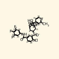 Cc1cc([C@@]2(O)CC3CC([S+]([O-])c4cc(C(=O)Nc5cc(F)c(F)c(F)c5)ccc4Cl)C[C@@H]2[C@H]3C)ccn1